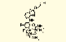 C#CCOc1cnc2c(Nc3cc(F)c(F)c([C@]4(C)C[C@](C)(C(N)=O)SC(N)=N4)c3)nccc2n1